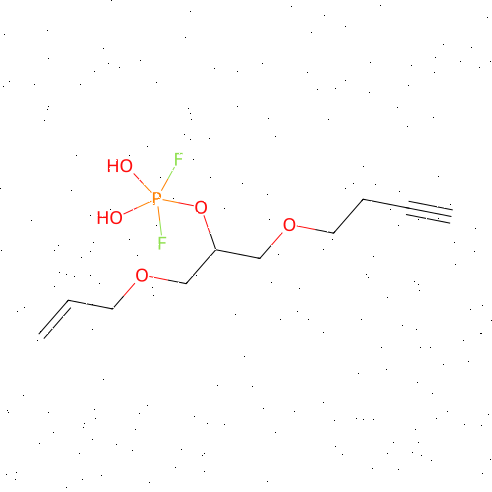 C#CCCOCC(COCC=C)OP(O)(O)(F)F